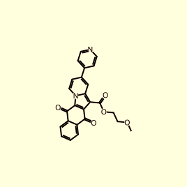 COCCOC(=O)c1c2c(n3ccc(-c4ccncc4)cc13)C(=O)c1ccccc1C2=O